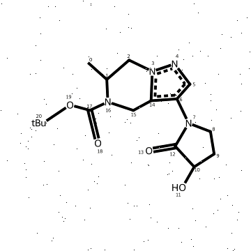 CC1Cn2ncc(N3CCC(O)C3=O)c2CN1C(=O)OC(C)(C)C